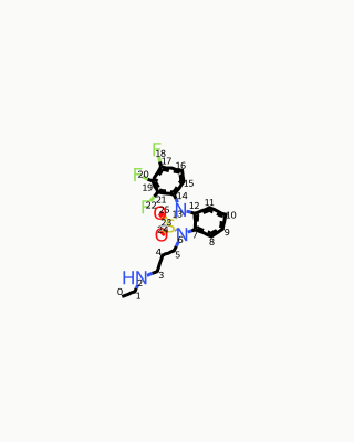 CCNCCCN1c2ccccc2N(c2ccc(F)c(F)c2F)S1(=O)=O